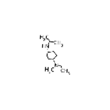 CCN(C)[C@H]1CC[C@H](NC(C)C)CC1